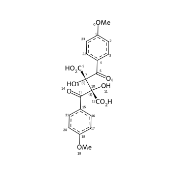 COc1ccc(C(=O)[C@](O)(C(=O)O)[C@@](O)(C(=O)O)C(=O)c2ccc(OC)cc2)cc1